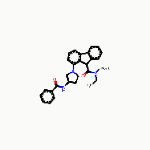 CCCCCN(CC(F)(F)F)C(=O)C1c2ccccc2-c2cccc(N3CCC(NC(=O)c4ccccc4)C3)c21